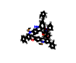 CSN1c2cc3c(cc2B2c4cc5c(cc4Oc4cc(-c6ccccc6C)cc1c42)N(SC)c1cc(-c2ccccc2C)cc2c1B5c1sc4ccccc4c1O2)B1c2sc4ccccc4c2N(c2ccccc2)c2cc(-c4ccccc4C)cc(c21)N3